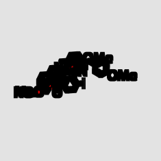 COc1ccc(CN(Cc2ccc(OC)cc2)S(=O)(=O)c2c(S(=O)(=O)[C@@H]3CC[C@H](CO)C3)ccc(I)c2-c2nnn(Cc3ccc(OC)cc3)n2)cc1